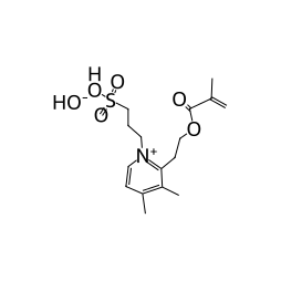 C=C(C)C(=O)OCCc1c(C)c(C)cc[n+]1CCCS(=O)(=O)O.[OH-]